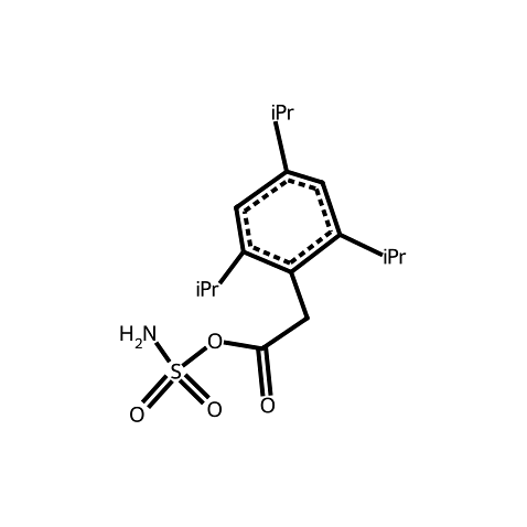 CC(C)c1cc(C(C)C)c(CC(=O)OS(N)(=O)=O)c(C(C)C)c1